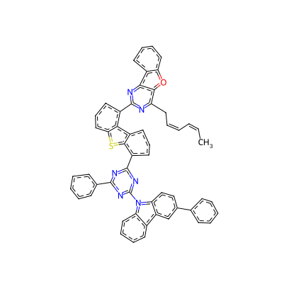 C/C=C\C=C/Cc1nc(-c2cccc3sc4c(-c5nc(-c6ccccc6)nc(-n6c7ccccc7c7cc(-c8ccccc8)ccc76)n5)cccc4c23)nc2c1oc1ccccc12